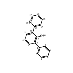 [2H]c1c(-c2ccccc2)cccc1-c1ccccn1